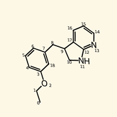 CCOc1cccc(CC2CNc3ncccc32)c1